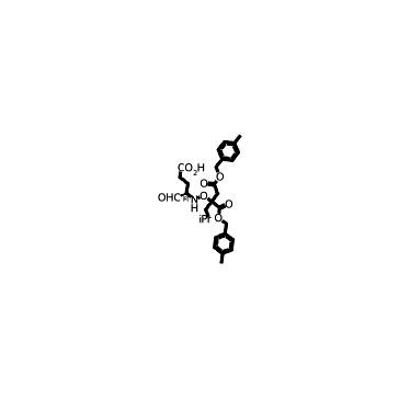 Cc1ccc(COC(=O)CC(CC(C)C)(ON[C@@H](C=O)CCC(=O)O)C(=O)OCc2ccc(C)cc2)cc1